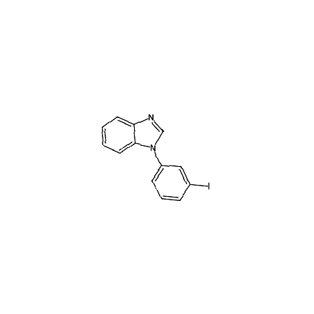 Ic1cccc(-n2cnc3ccccc32)c1